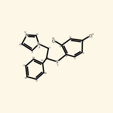 Clc1ccc(SC(Cn2ccnc2)c2ccccc2)c(Cl)c1